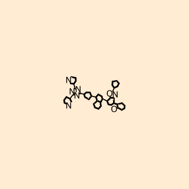 c1ccc(-c2nc3c(o2)c(-c2ccc(-c4ccc(-c5nc(-c6cccnc6)nc(-c6cccnc6)n5)cc4)c4ccccc24)cc2oc4ccccc4c23)cc1